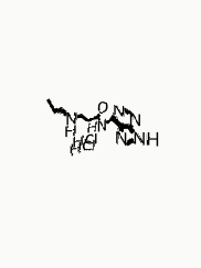 CCCNCCC(=O)Nc1ncnc2[nH]cnc12.Cl.Cl